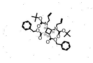 C=CCN(C(=O)OC(C)(C)C)[C@H]1[C@@H](C(=O)OCc2ccccc2)[C@H](C(=O)OCc2ccccc2)[C@@H]1N(CC=C)C(=O)OC(C)(C)C